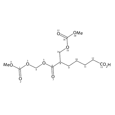 COC(=O)OCOC(=O)C(CCCCC(=O)O)COC(=O)OC